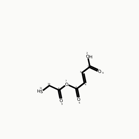 O=C(O)C=CC(=O)OC(=O)CS